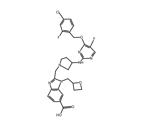 O=C(O)c1ccc2nc(CN3CCC(Nc4ncc(F)c(OCc5ccc(Cl)cc5F)n4)C3)n(CC3CCO3)c2c1